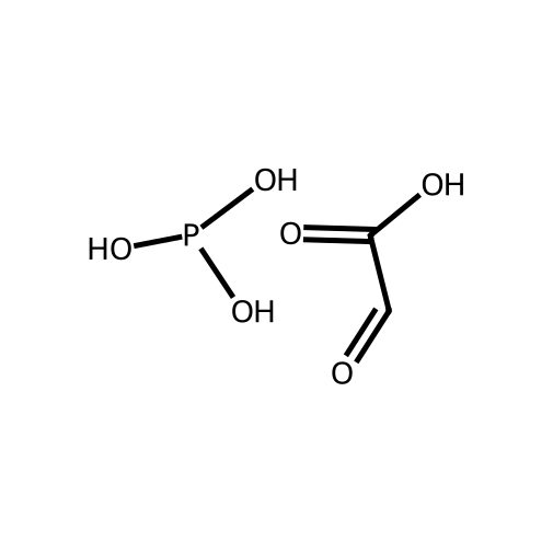 O=CC(=O)O.OP(O)O